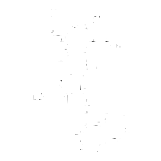 CCN1C(=O)C(C#N)=C(C)/C(=C\c2cc3oc(-c4cccc5ccccc45)cc3n2CC)C1=O